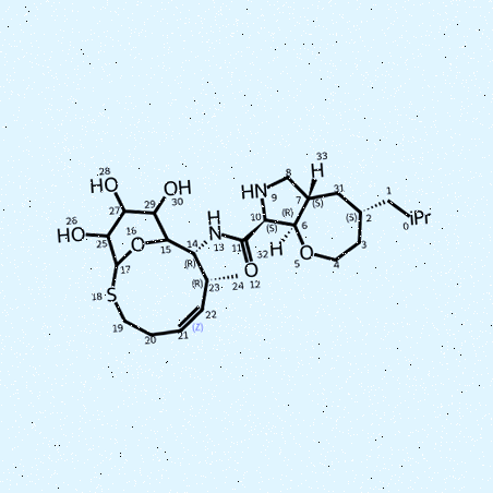 CC(C)C[C@@H]1CCO[C@@H]2[C@H](CN[C@@H]2C(=O)N[C@H]2C3OC(SCC/C=C\[C@H]2C)C(O)C(O)C3O)C1